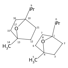 CC(C)C12CCC(C)(CC1)O2.CC(C)C12CCC(C)(CC1)O2